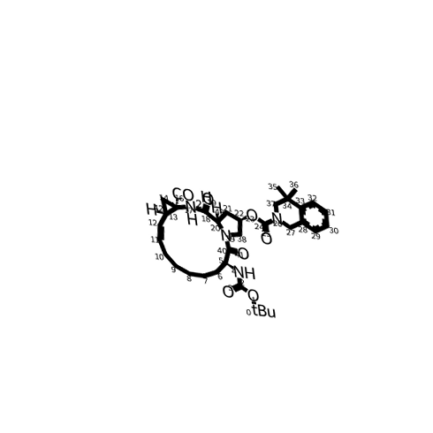 CC(C)(C)OC(=O)N[C@H]1CCCCC/C=C\[C@@H]2C[C@@]2(C(=O)O)NC(=O)[C@@H]2C[C@@H](OC(=O)N3Cc4ccccc4C(C)(C)C3)CN2C1=O